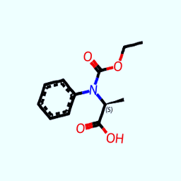 CCOC(=O)N(c1ccccc1)[C@@H](C)C(=O)O